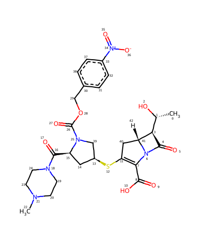 C[C@@H](O)[C@H]1C(=O)N2C(C(=O)O)=C(S[C@H]3C[C@@H](C(=O)N4CCN(C)CC4)N(C(=O)OCc4ccc([N+](=O)[O-])cc4)C3)C[C@H]12